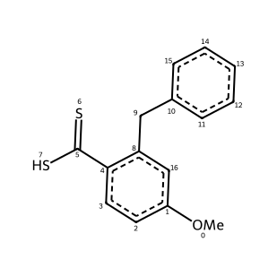 COc1ccc(C(=S)S)c(Cc2ccccc2)c1